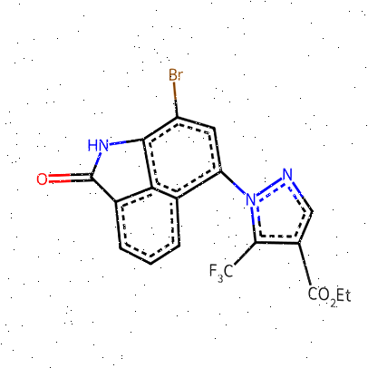 CCOC(=O)c1cnn(-c2cc(Br)c3c4c(cccc24)C(=O)N3)c1C(F)(F)F